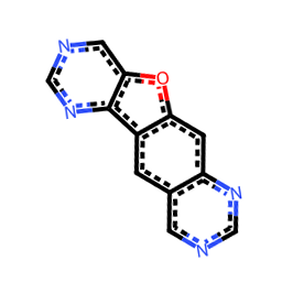 c1ncc2cc3c(cc2n1)oc1cncnc13